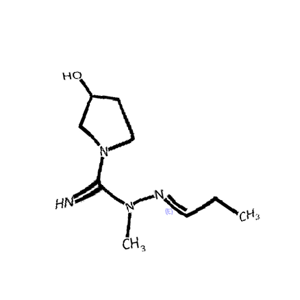 CC/C=N/N(C)C(=N)N1CCC(O)C1